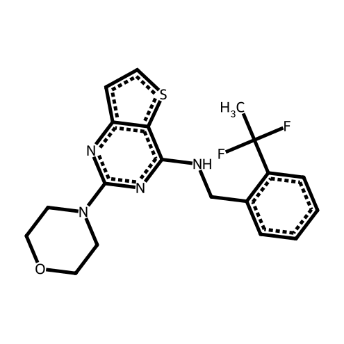 CC(F)(F)c1ccccc1CNc1nc(N2CCOCC2)nc2ccsc12